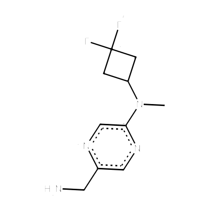 CN(c1cnc(CN)cn1)C1CC(F)(F)C1